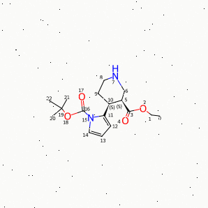 CCOC(=O)[C@@H]1CNCC[C@@H]1c1cccn1C(=O)OC(C)(C)C